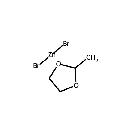 [Br][Zn][Br].[CH2]C1OCCO1